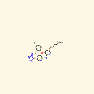 COCCCSc1cnc(Nc2ccc(-c3nnn[nH]3)cn2)c(Oc2ccc(F)cc2F)c1